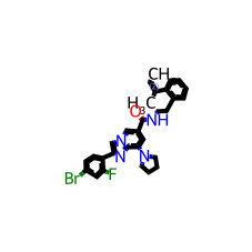 C/C=C(/C)c1ccccc1CCNC(=O)c1cc(N2CCCC2)c2nc(-c3ccc(Br)cc3F)cn2c1